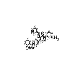 COc1ccccc1CN1CCN(c2cnn(C3=CC(C)CC=C3)c(=O)c2OCc2cccnc2)CC1